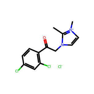 Cc1n(CC(=O)c2ccc(Cl)cc2Cl)cc[n+]1C.[Cl-]